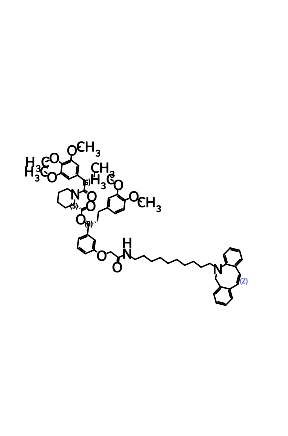 CC[C@H](C(=O)N1CCCC[C@H]1C(=O)O[C@H](CCc1ccc(OC)c(OC)c1)c1cccc(OCC(=O)NCCCCCCCCCCN2Cc3ccccc3/C=C\c3ccccc32)c1)c1cc(OC)c(OC)c(OC)c1